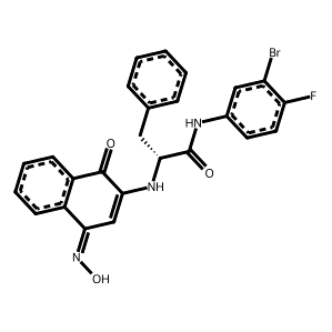 O=C1C(N[C@H](Cc2ccccc2)C(=O)Nc2ccc(F)c(Br)c2)=CC(=NO)c2ccccc21